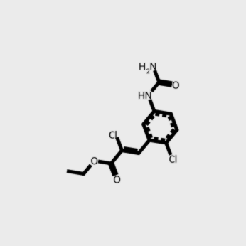 CCOC(=O)C(Cl)=Cc1cc(NC(N)=O)ccc1Cl